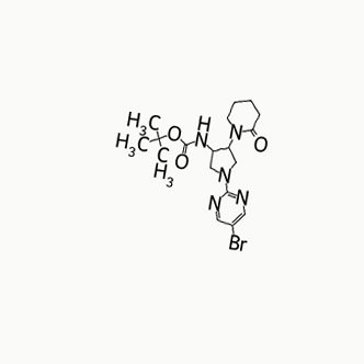 CC(C)(C)OC(=O)NC1CN(c2ncc(Br)cn2)CC1N1CCCCC1=O